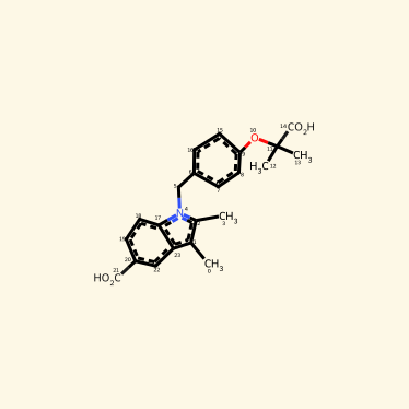 Cc1c(C)n(Cc2ccc(OC(C)(C)C(=O)O)cc2)c2ccc(C(=O)O)cc12